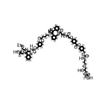 CCOCc1nc2c(NC(=O)OCc3ccc(OC(=O)CCCCn4nnc5c4-c4ccccc4CN(C(=O)CCNC(=O)COc4ccc(C(=O)Oc6ccc(COC(=O)NCCCOCC(O)COP(C)(=O)O)cc6)cc4)c4ccccc4-5)cc3)nc3ccccc3c2n1CC(C)(C)O